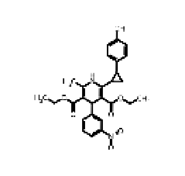 CCOC(=O)C1=C(C)NC(C2CC2c2ccc(O)cc2)=C(C(=O)OCC)C1c1cccc([N+](=O)[O-])c1